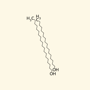 CCCCCCCCCCCCCCCCCCCCO.CCCCCCCCCCCCCCCCCCO